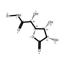 CCNC(=O)[C@H](O)[C@H]1OC(=O)[C@@H](O)[C@H]1O